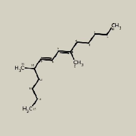 CCCCC/C(C)=[C]/C=CC(C)CCCC